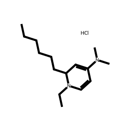 CCCCCCC1C=C(N(C)C)C=CN1CC.Cl